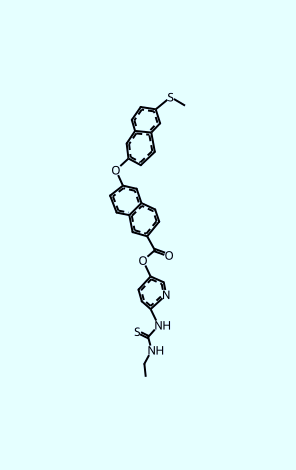 CCNC(=S)Nc1ccc(OC(=O)c2ccc3cc(Oc4ccc5cc(SC)ccc5c4)ccc3c2)cn1